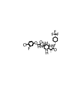 C[C@@H](C(=O)NC[C@H]1CC[C@@H](C(F)(F)F)CC1)C1CC[C@@]([SiH3])(NC(=O)COc2ccc(Cl)c(F)c2)CN1